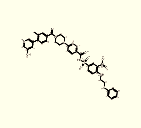 Cc1cc(C(=O)N2CCN(c3ccc(C(=O)NS(=O)(=O)c4ccc(NCCSc5ccccc5)c([N+](=O)[O-])c4)nn3)CC2)ccc1-c1cncc(O)c1